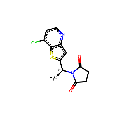 C[C@@H](c1cc2nccc(Cl)c2s1)N1C(=O)CCC1=O